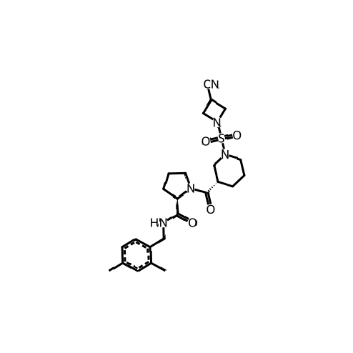 Cc1ccc(CNC(=O)[C@H]2CCCN2C(=O)[C@H]2CCCN(S(=O)(=O)N3CC(C#N)C3)C2)c(C)c1